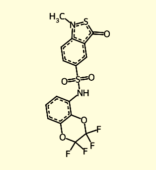 Cn1sc(=O)c2cc(S(=O)(=O)Nc3cccc4c3OC(F)(F)C(F)(F)O4)ccc21